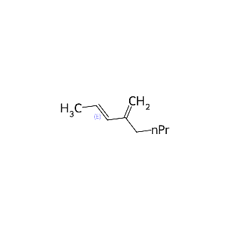 C=C(/C=C/C)CCCC